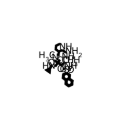 CC(NS(=O)(=O)c1ccc2ccccc2c1)C(=O)C(CNC1CC1)(C(=O)O)C(=O)N(C)CC1CCCNC1C(=N)N